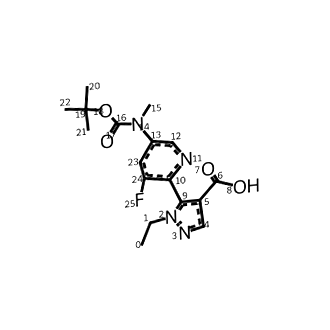 CCn1ncc(C(=O)O)c1-c1ncc(N(C)C(=O)OC(C)(C)C)cc1F